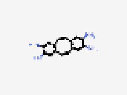 Nc1cc2c(cc1N)/C=C\c1cc(N)c(N)cc1/C=C\2